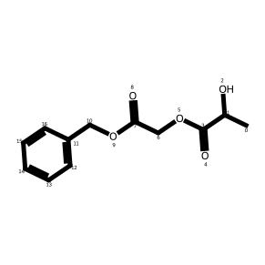 CC(O)C(=O)OCC(=O)OCc1ccccc1